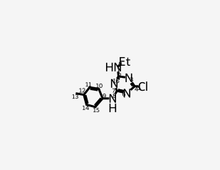 CCNc1nc(Cl)nc(Nc2ccc(C)cc2)n1